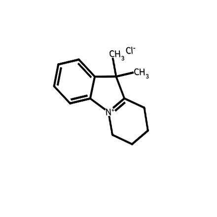 CC1(C)C2=[N+](CCCC2)c2ccccc21.[Cl-]